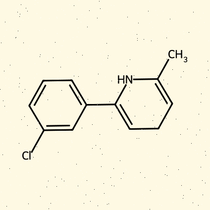 CC1=CCC=C(c2cccc(Cl)c2)N1